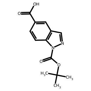 CC(C)(C)OC(=O)n1ncc2cc(C(=O)O)ccc21